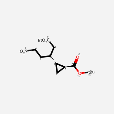 CCOC(=O)CC(CC[N+](=O)[O-])[C@H]1C[C@@H]1C(=O)OC(C)(C)C